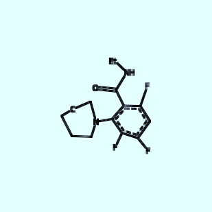 CCNC(=O)c1c(F)cc(F)c(F)c1N1CCCCC1